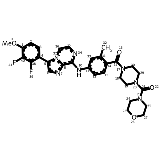 COc1ccc(-c2cnc3c(Nc4ccc(C(=O)N5CCN(C(=O)N6CCOCC6)CC5)c(C)c4)nccn23)c(F)c1F